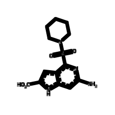 Nc1cc2[nH]c(C(=O)O)cc2c(S(=O)(=O)N2CCCCC2)n1